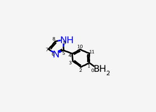 Bc1ccc(-c2ncc[nH]2)cc1